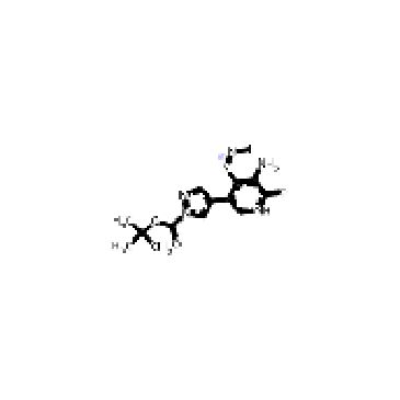 CC(C)(C)OC(=O)n1cc(-c2c[nH]c(=O)c(N)c2/N=N\I)cn1